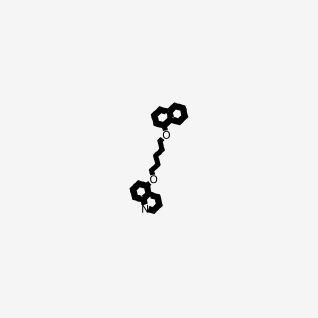 c1ccc2c(OCCCCCOc3cccc4ncccc34)cccc2c1